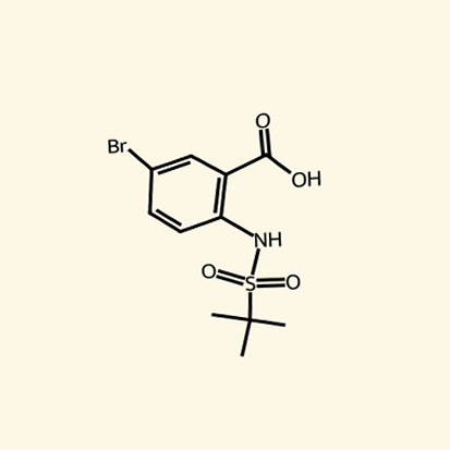 CC(C)(C)S(=O)(=O)Nc1ccc(Br)cc1C(=O)O